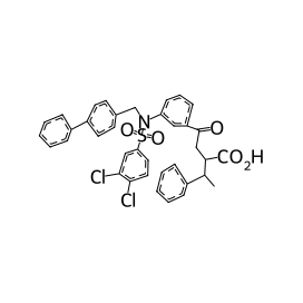 CC(c1ccccc1)C(CC(=O)c1cccc(N(Cc2ccc(-c3ccccc3)cc2)S(=O)(=O)c2ccc(Cl)c(Cl)c2)c1)C(=O)O